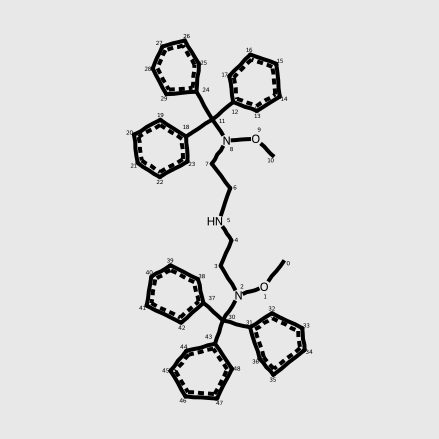 CON(CCNCCN(OC)C(c1ccccc1)(c1ccccc1)c1ccccc1)C(c1ccccc1)(c1ccccc1)c1ccccc1